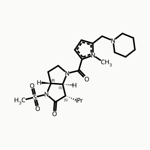 CC(C)[C@@H]1C(=O)N(S(C)(=O)=O)[C@@H]2CCN(C(=O)c3ccc(CN4CCCCC4)n3C)[C@H]21